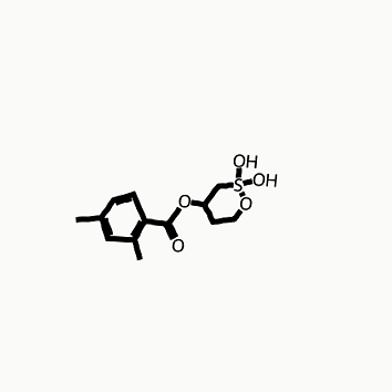 Cc1ccc(C(=O)OC2CCOS(O)(O)C2)c(C)c1